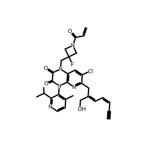 C#C/C=C\C=C(\CO)Cc1nc2c(cc1Cl)n(CC1(F)CN(C(=O)C=C)C1)c(=O)c(=O)n2-c1c(C)ccnc1C(C)C